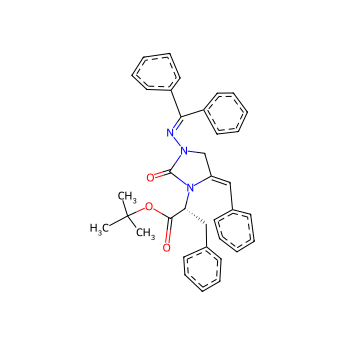 CC(C)(C)OC(=O)[C@@H](Cc1ccccc1)N1C(=O)N(N=C(c2ccccc2)c2ccccc2)C/C1=C/c1ccccc1